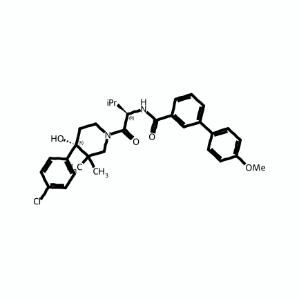 COc1ccc(-c2cccc(C(=O)N[C@@H](C(=O)N3CC[C@](O)(c4ccc(Cl)cc4)C(C)(C)C3)C(C)C)c2)cc1